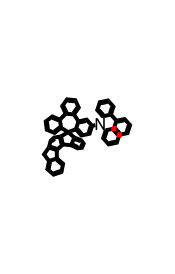 c1ccc(-c2ccccc2N(c2ccccc2)c2ccc3c(c2)-c2ccccc2-c2ccccc2C32c3ccccc3-c3c2ccc2c3-c3ccccc3C2)cc1